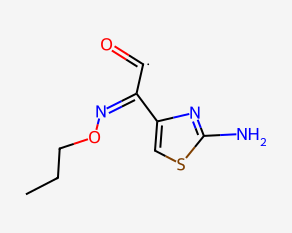 CCCO/N=C(/[C]=O)c1csc(N)n1